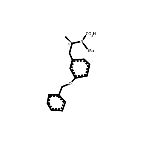 C[C@H](Cc1cccc(OCc2ccccc2)c1)N(C(=O)O)C(C)(C)C